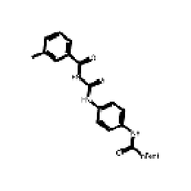 CCCCCC(=O)Nc1ccc(NC(=S)NC(=O)c2cccc(C)c2)cc1